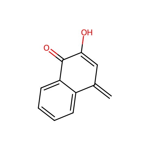 C=C1C=C(O)C(=O)c2ccccc21